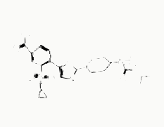 CC(C)OC(=O)NC1CCC(c2ncc(-c3ccc(C(=O)O)cc3S(=O)(=O)C3CC3)s2)CC1